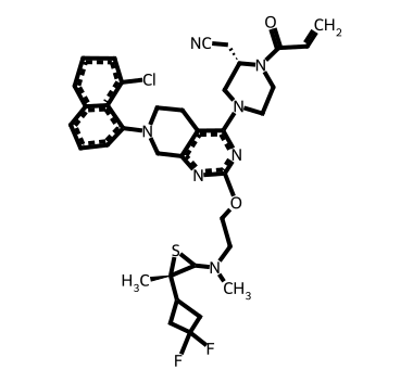 C=CC(=O)N1CCN(c2nc(OCCN(C)C3S[C@@]3(C)C3CC(F)(F)C3)nc3c2CCN(c2cccc4cccc(Cl)c24)C3)C[C@@H]1CC#N